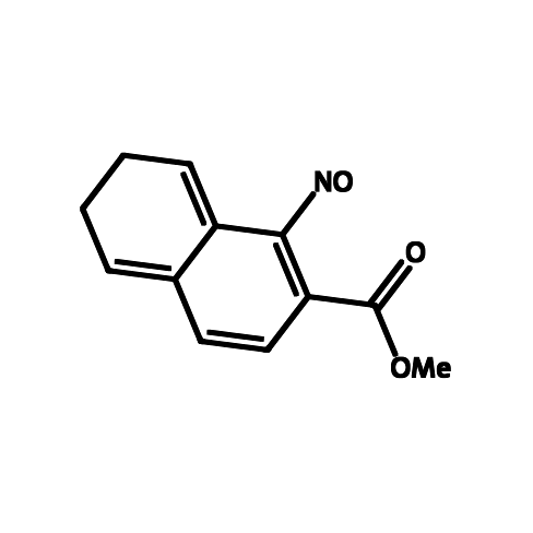 COC(=O)c1ccc2c(c1N=O)=CCCC=2